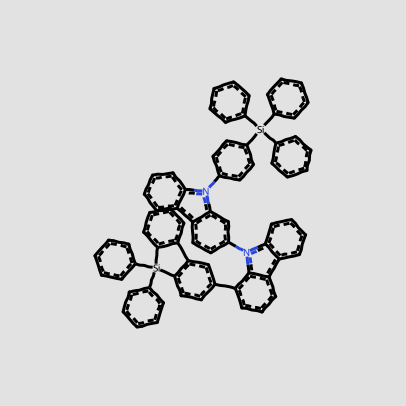 c1ccc([Si](c2ccccc2)(c2ccccc2)c2ccc(-n3c4ccccc4c4ccc(-n5c6ccccc6c6cccc(-c7ccc8c(c7)-c7ccccc7[Si]8(c7ccccc7)c7ccccc7)c65)cc43)cc2)cc1